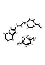 CCN1CCN(CCOc2cc3n(n2)CCCC3)CC1.O=C(O)/C=C\C(=O)O